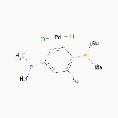 [2H]c1cc(N(C)C)ccc1P(C(C)(C)C)C(C)(C)C.[Cl][Pd][Cl]